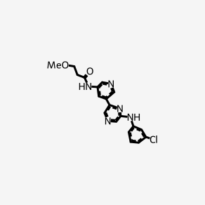 COCCC(=O)Nc1cncc(-c2cncc(Nc3cccc(Cl)c3)n2)c1